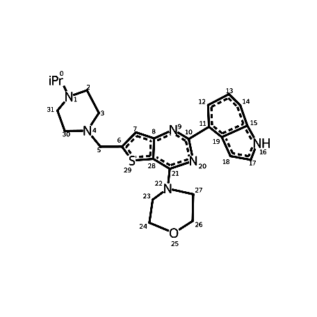 CC(C)N1CCN(Cc2cc3nc(-c4cccc5[nH]ccc45)nc(N4CCOCC4)c3s2)CC1